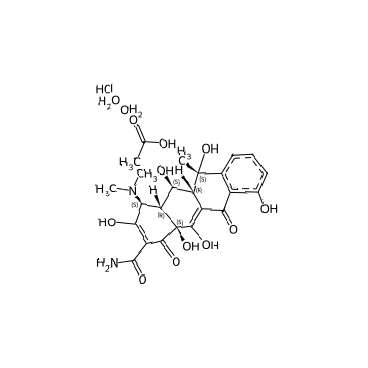 CC(=O)O.CN(C)[C@@H]1C(O)=C(C(N)=O)C(=O)[C@@]2(O)C(O)=C3C(=O)c4c(O)cccc4[C@@](C)(O)[C@H]3[C@H](O)[C@@H]12.Cl.O.O